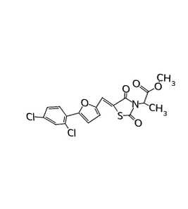 COC(=O)C(C)N1C(=O)S/C(=C\c2ccc(-c3ccc(Cl)cc3Cl)o2)C1=O